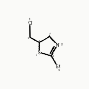 CCC1=NCC(CCl)S1